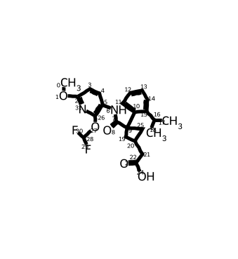 COc1ccc(NC(=O)C2(c3ccccc3C(C)C)CC(CC(=O)O)C2)c(OC(F)F)n1